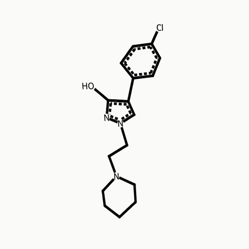 Oc1nn(CCN2CCCCC2)cc1-c1ccc(Cl)cc1